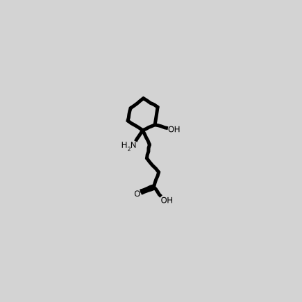 NC1(CCCC(=O)O)CCCCC1O